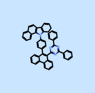 C1=Cc2c(n(-c3ccc(-c4c(-c5nc(-c6ccccc6)nc(-c6ccccc6)n5)c5ccccc5c5ccccc45)cc3)c3c2ccc2ccccc23)CC1